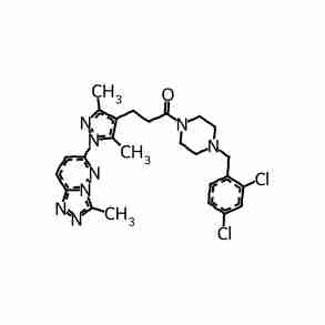 Cc1nn(-c2ccc3nnc(C)n3n2)c(C)c1CCC(=O)N1CCN(Cc2ccc(Cl)cc2Cl)CC1